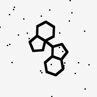 C1CCC2[C](C34CCCCC3CCC4)CCC2C1